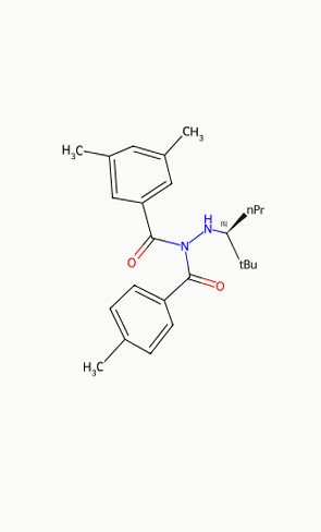 CCC[C@H](NN(C(=O)c1ccc(C)cc1)C(=O)c1cc(C)cc(C)c1)C(C)(C)C